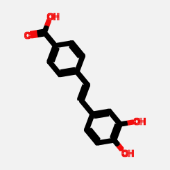 O=C(O)c1ccc(C=Cc2ccc(O)c(O)c2)cc1